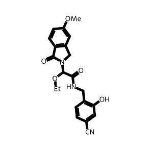 CCOC(C(=O)NCc1ccc(C#N)cc1O)N1Cc2cc(OC)ccc2C1=O